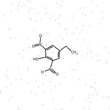 CCc1cc([N+](=O)[O-])c(O)c([N+](=O)[O-])c1